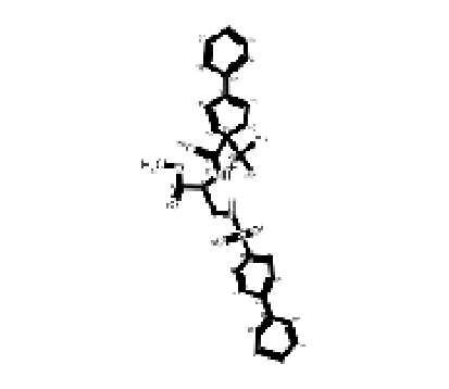 COC(=O)C(CNS(=O)(=O)c1ccc(-c2ccccc2)cc1)NC(=O)C1(C(F)(F)F)C=CC(c2ccccc2)=CC1